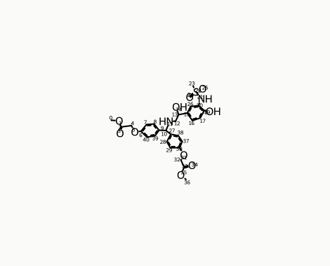 COC(=O)COc1ccc(C(NCC(O)c2ccc(O)c(NS(C)(=O)=O)c2)c2ccc(OCC(=O)OC)cc2)cc1